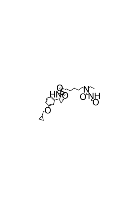 CCN(CCCCCS(=O)(=O)NC1(c2cccc(OCC3CC3)c2)CC1)C(=O)NC=O